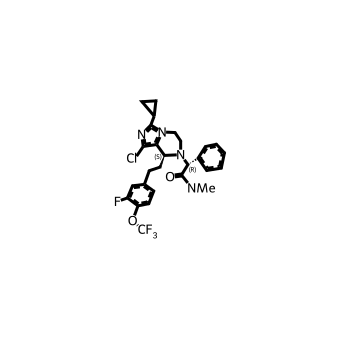 CNC(=O)[C@@H](c1ccccc1)N1CCn2c(C3CC3)nc(Cl)c2[C@@H]1CCc1ccc(OC(F)(F)F)c(F)c1